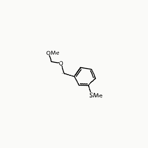 COCO[CH]c1cccc(SC)c1